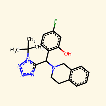 CC(C)(C)n1nnnc1C(c1ccc(F)cc1O)N1CCc2ccccc2C1